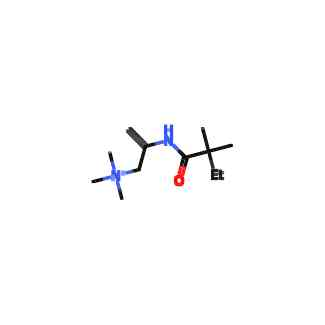 C=C(C[N+](C)(C)C)NC(=O)C(C)(C)CC